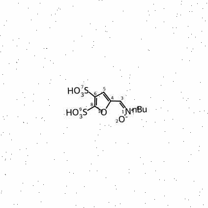 CCCC[N+]([O-])=Cc1cc(S(=O)(=O)O)c(S(=O)(=O)O)o1